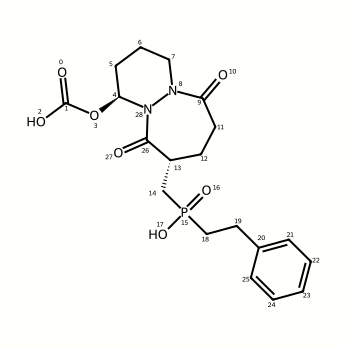 O=C(O)O[C@H]1CCCN2C(=O)CC[C@H](CP(=O)(O)CCc3ccccc3)C(=O)N12